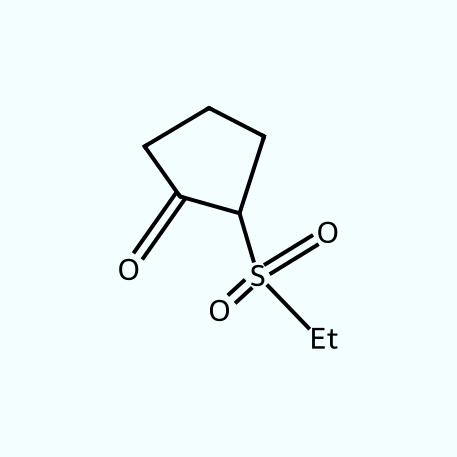 CCS(=O)(=O)C1CCCC1=O